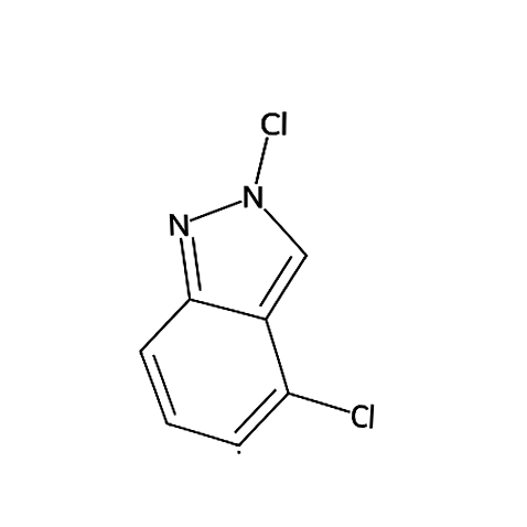 Clc1[c]ccc2nn(Cl)cc12